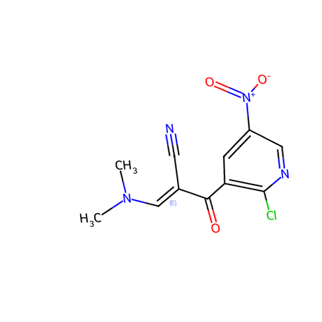 CN(C)/C=C(\C#N)C(=O)c1cc([N+](=O)[O-])cnc1Cl